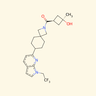 C[C@]1(O)C[C@@H](C(=O)N2CC3(CCC(c4ccc5ccn(CC(F)(F)F)c5n4)CC3)C2)C1